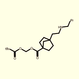 CC(C)CNCCC12CCC(C(=O)OCOC(=O)C(C)(C)C)(CC1)C2